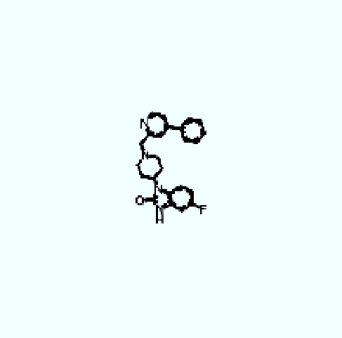 O=c1[nH]c2cc(F)ccc2n1C1CCN(Cc2cc(-c3ccccc3)ccn2)CC1